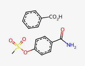 CS(=O)(=O)Oc1ccc(C(N)=O)cc1.O=C(O)c1ccccc1